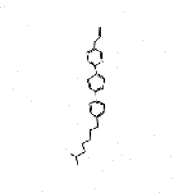 C=CCc1cnc(-c2ccc(-c3ccc(CCCCCC(C)F)cc3)cc2)nc1